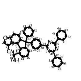 N#Cc1coc2ccc3c(c12)-c1c(C=N)cccc1C3(c1ccccc1)c1ccc(-c2nc(-c3ccccc3)nc(-c3ccccc3)n2)cc1